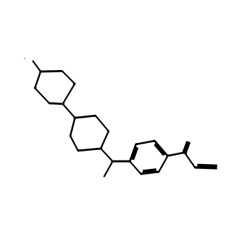 C=CC(=O)c1ccc(C(O)C2CCC(C3CCC(CCC)CC3)CC2)cc1